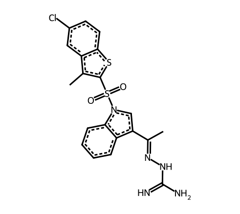 CC(=NNC(=N)N)c1cn(S(=O)(=O)c2sc3ccc(Cl)cc3c2C)c2ccccc12